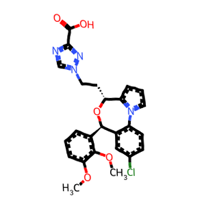 COc1cccc([C@H]2O[C@H](CCn3cnc(C(=O)O)n3)c3cccn3-c3ccc(Cl)cc32)c1OC